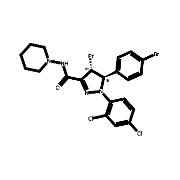 CC[C@H]1C(C(=O)NN2CCCCC2)=NN(c2ccc(Cl)cc2Cl)[C@@H]1c1ccc(Br)cc1